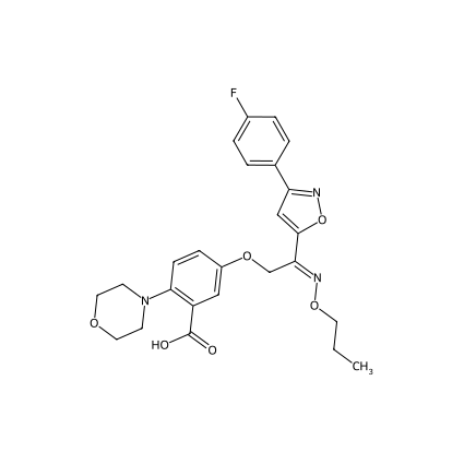 CCCO/N=C(\COc1ccc(N2CCOCC2)c(C(=O)O)c1)c1cc(-c2ccc(F)cc2)no1